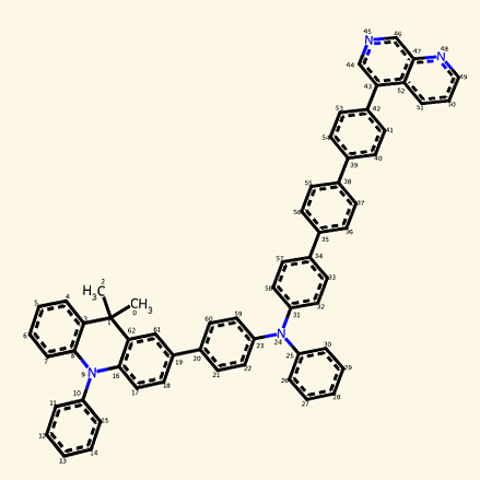 CC1(C)c2ccccc2N(c2ccccc2)c2ccc(-c3ccc(N(c4ccccc4)c4ccc(-c5ccc(-c6ccc(-c7cncc8ncccc78)cc6)cc5)cc4)cc3)cc21